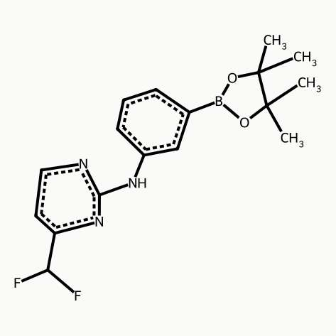 CC1(C)OB(c2cccc(Nc3nccc(C(F)F)n3)c2)OC1(C)C